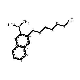 CN(C)c1cc2ccccc2cc1CCCCCCO